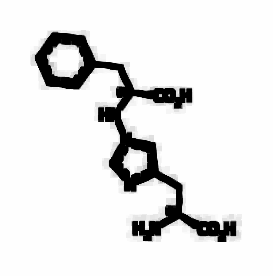 N[C@@H](Cc1cn(N[C@@H](Cc2ccccc2)C(=O)O)cn1)C(=O)O